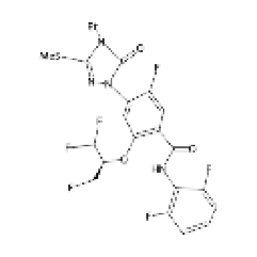 CCn1c(SC)nn(-c2cc(O[C@@H](CF)C(F)F)c(C(=O)Nc3c(F)cccc3F)cc2F)c1=O